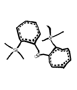 C[Si](C)(C)c1ccccc1[Si]c1ccccc1[Si](C)(C)C